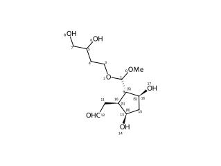 COC(OCCC(O)CO)[C@H]1[C@H](CC=O)[C@H](O)C[C@@H]1O